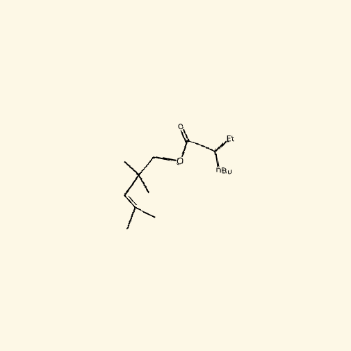 CCCCC(CC)C(=O)OCC(C)(C)C=C(C)C